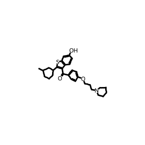 CC1CCCC(c2sc3cc(O)ccc3c2C(=O)c2ccc(OCCCN3CCCCC3)cc2)C1